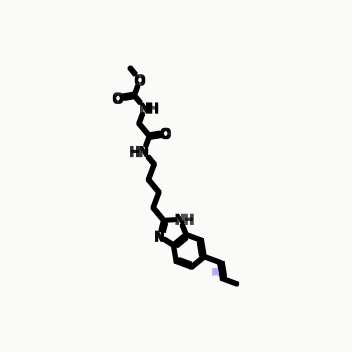 C/C=C/c1ccc2nc(CCCCNC(=O)CNC(=O)OC)[nH]c2c1